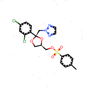 Cc1ccc(S(=O)(=O)OC[C@H]2CO[C@](Cn3nccn3)(c3ccc(Cl)cc3Cl)O2)cc1